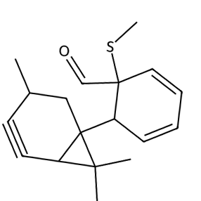 CSC1(C=O)C=CC=CC1C12CC(C)C#CC1C2(C)C